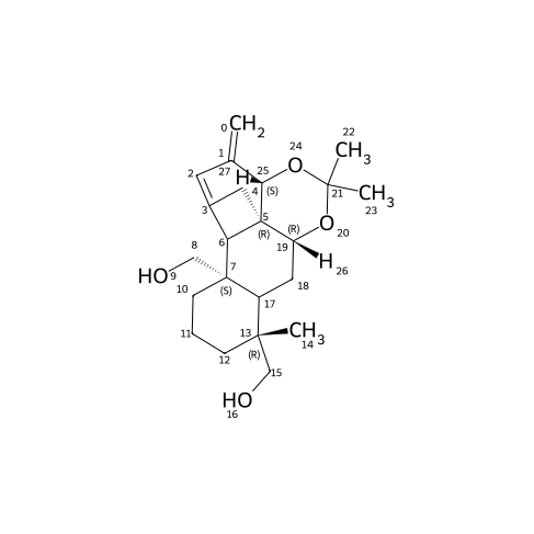 C=C1C=C2C[C@@]34C2[C@]2(CO)CCC[C@@](C)(CO)C2C[C@H]3OC(C)(C)O[C@@H]14